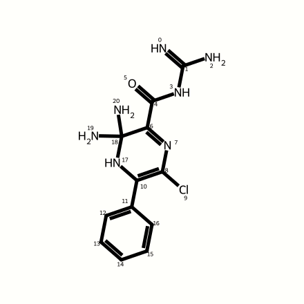 N=C(N)NC(=O)C1=NC(Cl)=C(c2ccccc2)NC1(N)N